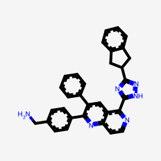 NCc1ccc(-c2nc3ccnc(-c4nc(C5Cc6ccccc6C5)n[nH]4)c3cc2-c2ccccc2)cc1